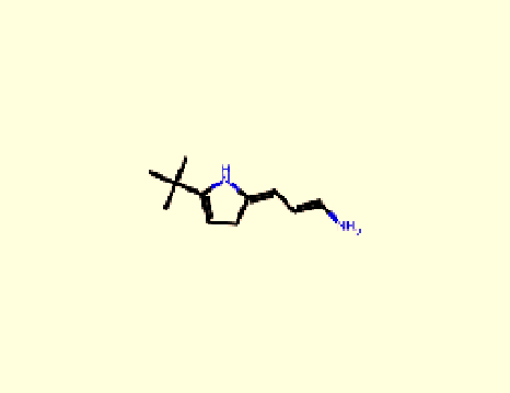 CC(C)(C)C1=CC/C(=C\C=C\N)N1